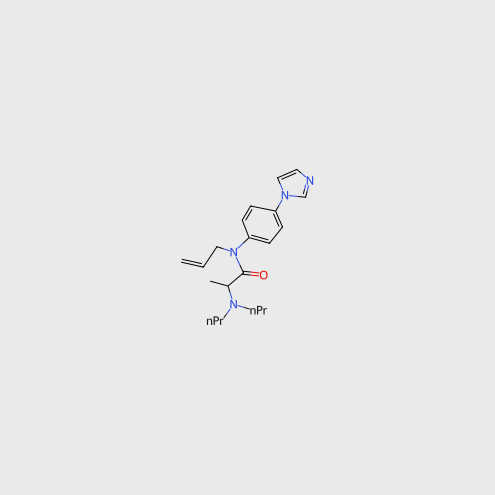 C=CCN(C(=O)C(C)N(CCC)CCC)c1ccc(-n2ccnc2)cc1